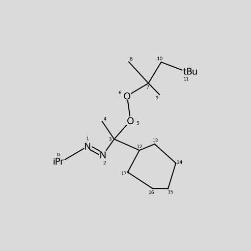 CC(C)N=NC(C)(OOC(C)(C)CC(C)(C)C)C1CCCCC1